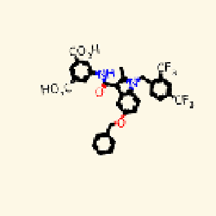 Cc1c(C(=O)Nc2cc(C(=O)O)cc(C(=O)O)c2)c2cc(OCc3ccccc3)ccc2n1Cc1ccc(C(F)(F)F)cc1C(F)(F)F